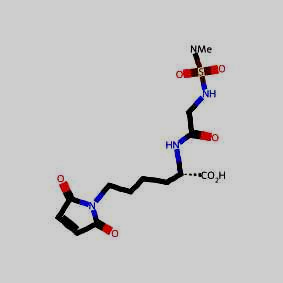 CNS(=O)(=O)NCC(=O)N[C@@H](CCCCN1C(=O)C=CC1=O)C(=O)O